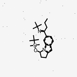 CCCC(=NC(C)(C)C)c1ccc2cc3n(c2c1)C(O[Si](C)(C)C(C)(C)C)CC3